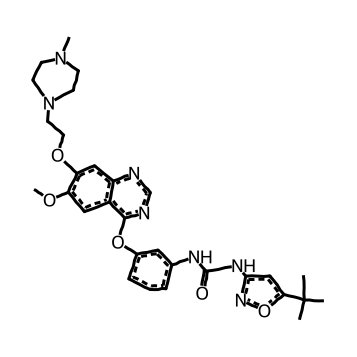 COc1cc2c(Oc3cccc(NC(=O)Nc4cc(C(C)(C)C)on4)c3)ncnc2cc1OCCN1CCN(C)CC1